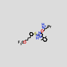 Cc1cccc(C)c1-c1cc(OC[C@H](N)CC(C)C)nc(NSc2cccc(CCCCOC(F)(F)F)c2)n1